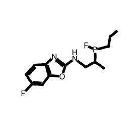 CCCP(F)C(C)CNc1nc2ccc(F)cc2o1